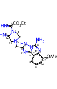 CCOC(=O)C(=N)N1CCN(CC2N=C3c4cccc(OC)c4N=C(N)N3N2)CC1=N